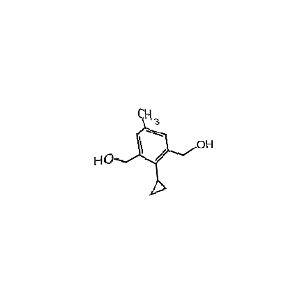 Cc1cc(CO)c(C2CC2)c(CO)c1